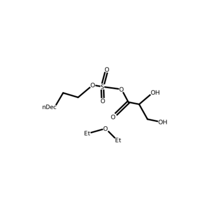 CCCCCCCCCCCCOS(=O)(=O)OC(=O)C(O)CO.CCOCC